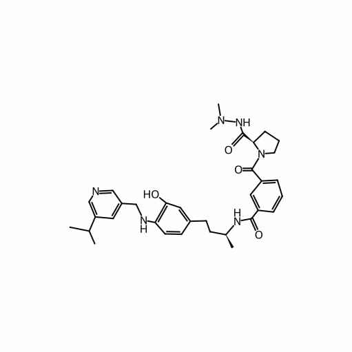 CC(C)c1cncc(CNc2ccc(CC[C@H](C)NC(=O)c3cccc(C(=O)N4CCC[C@@H]4C(=O)NN(C)C)c3)cc2O)c1